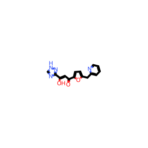 O=C(C=C(O)c1nc[nH]n1)c1ccc(Cc2ccccn2)o1